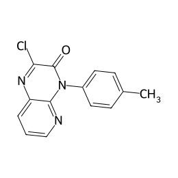 Cc1ccc(-n2c(=O)c(Cl)nc3cccnc32)cc1